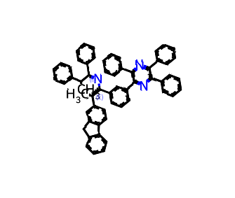 C/C(=C(\N=C(\c1ccccc1)C(C)c1ccccc1)c1cccc(-c2nc(-c3ccccc3)c(-c3ccccc3)nc2-c2ccccc2)c1)c1ccc2c(c1)Cc1ccccc1-2